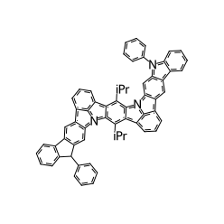 CC(C)c1c2c3cccc4c5cc6c7ccccc7n(-c7ccccc7)c6cc5n(c2c(C(C)C)c2c5cccc6c7cc8c(cc7n(c12)c65)C(c1ccccc1)c1ccccc1-8)c43